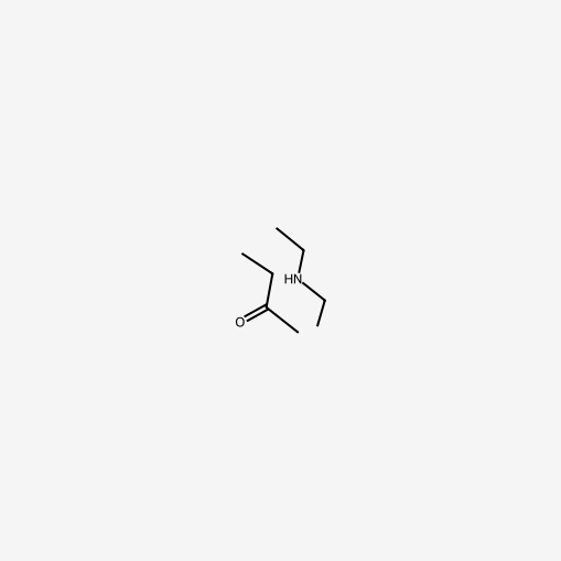 CCC(C)=O.CCNCC